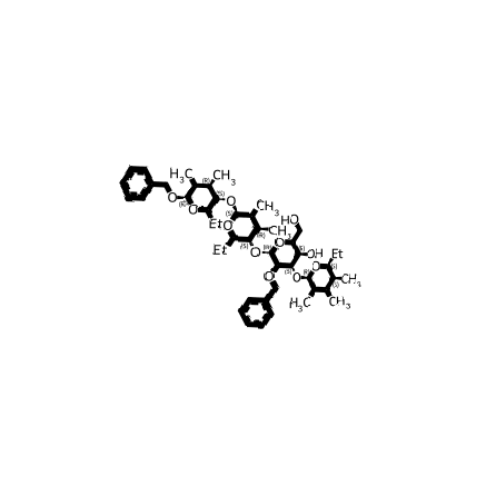 CCC1O[C@@H](OCc2ccccc2)C(C)[C@@H](C)[C@@H]1O[C@@H]1OC(CC)[C@@H](O[C@@H]2OC(CO)[C@@H](O)[C@H](O[C@H]3O[C@@H](CC)[C@@H](C)C(C)C3C)C2OCc2ccccc2)[C@H](C)C1C